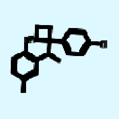 CCCc1ccc(C)cc1C(C)C1(c2ccc(Cl)cc2)CCC1